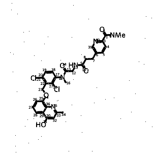 CNC(=O)c1ccc(CCC(=O)NCC(=O)N(C)c2ccc(Cl)c(COc3cccc4c(O)cc(C)nc34)c2Cl)cn1